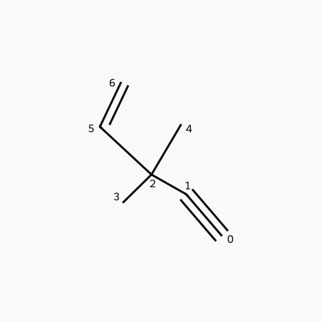 C#CC(C)(C)C=C